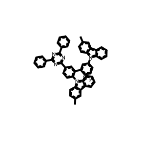 Cc1ccc2c(c1)c1ccccc1n2-c1ccc(C(F)(F)F)c(-c2cc(-c3nc(-c4ccccc4)nc(-c4ccccc4)n3)ccc2-n2c3ccccc3c3cc(C)ccc32)c1